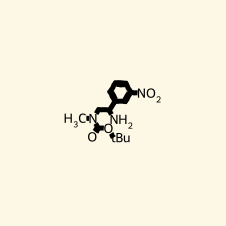 CN(CC(N)c1cccc([N+](=O)[O-])c1)C(=O)OC(C)(C)C